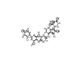 COc1cc(-c2cn(C)c(=O)c(C)c2C)cc(OC)c1CN1CCN(CC2=C3C(CC=C2)N(C2CCC(=O)NC2=O)C(=O)N3C)CC1